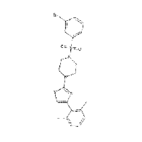 Cc1cccc(C)c1-c1csc(N2CCN(S(=O)(=O)c3cccc(Br)c3)CC2)n1